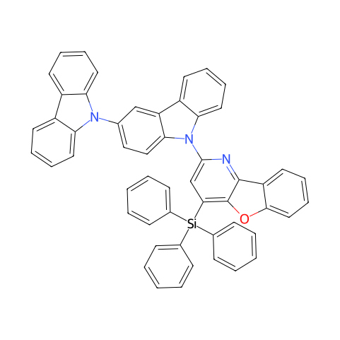 c1ccc([Si](c2ccccc2)(c2ccccc2)c2cc(-n3c4ccccc4c4cc(-n5c6ccccc6c6ccccc65)ccc43)nc3c2oc2ccccc23)cc1